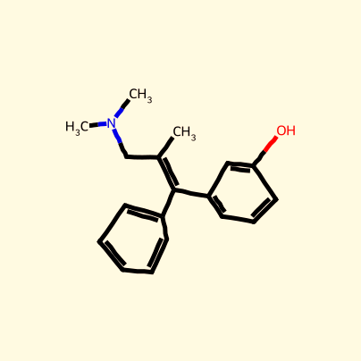 CC(CN(C)C)=C(c1ccccc1)c1cccc(O)c1